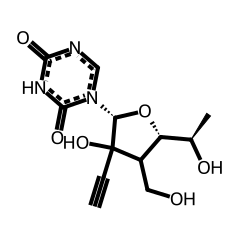 C#CC1(O)C(CO)[C@@H]([C@@H](C)O)O[C@H]1n1cnc(=O)[nH]c1=O